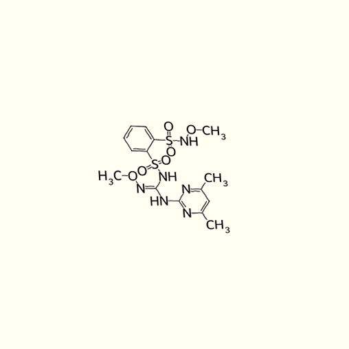 CON=C(Nc1nc(C)cc(C)n1)NS(=O)(=O)c1ccccc1S(=O)(=O)NOC